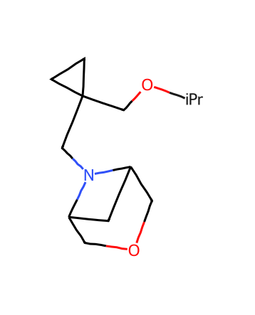 CC(C)OCC1(CN2C3COCC2C3)CC1